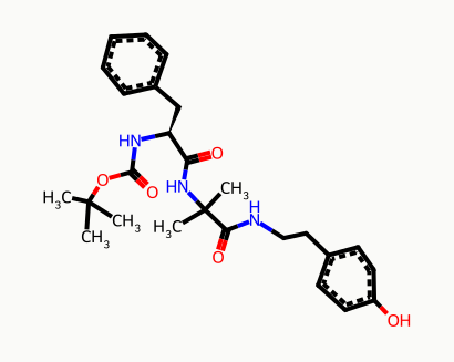 CC(C)(C)OC(=O)N[C@@H](Cc1ccccc1)C(=O)NC(C)(C)C(=O)NCCc1ccc(O)cc1